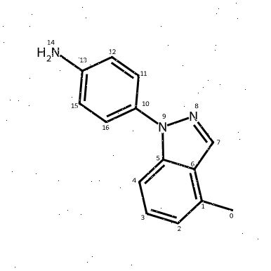 Cc1cccc2c1cnn2-c1ccc(N)cc1